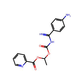 CC(OC(=O)NC(=N)c1ccc(N)cc1)OC(=O)c1ccccn1